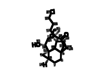 CO[C@@H]1CCC23CC[C@H]4C[C@@]4(C12)[C@H](O)C[C@@](C)(CCCCl)C(=O)[C@@H]3C